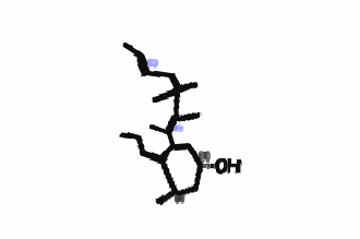 C/C=C/CC(C)(C)/C(C)=C(\C)C1=C[C@H](O)C[C@@H](C)C1CCC